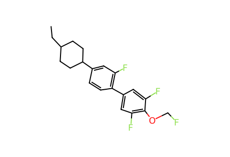 CCC1CCC(c2ccc(-c3cc(F)c(OCF)c(F)c3)c(F)c2)CC1